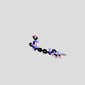 COC(=O)N[C@H](C(=O)N1CCCC1c1ncc(-c2ccc(-c3ccc(-c4cnc([C@@H]5CCCN5C(=O)CNC5CCOCC5)[nH]4)cc3)cc2)[nH]1)C(C)C